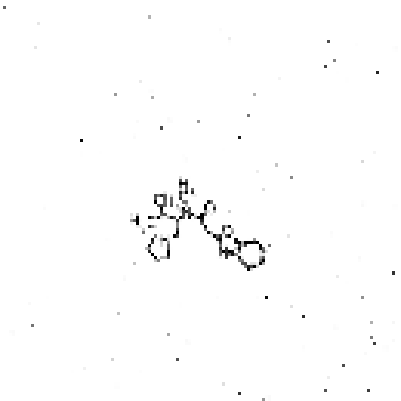 CC(C)C(CN1CCCC1)N(C)C(=O)Cc1nc2ccccc2o1